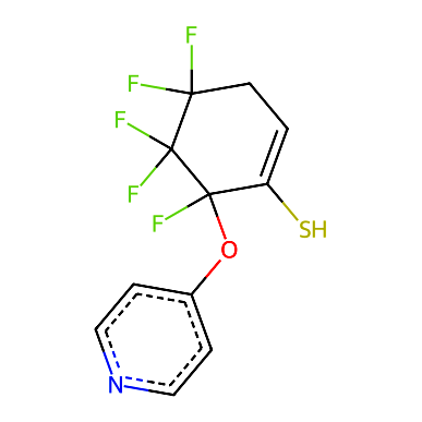 FC1(F)CC=C(S)C(F)(Oc2ccncc2)C1(F)F